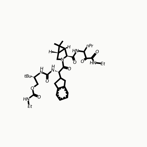 CCCC(NC(=O)[C@@H]1[C@@H]2[C@H](CN1C(=O)[C@@H](NC(=O)N[C@H](COC(=O)NCC)C(C)(C)C)C1Cc3ccccc3C1)C2(C)C)C(=O)C(=O)NCC